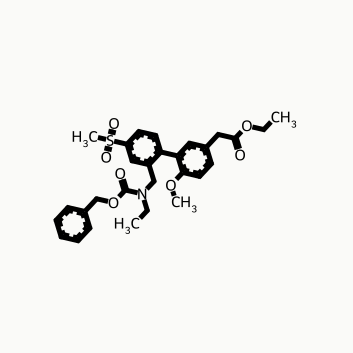 CCOC(=O)Cc1ccc(OC)c(-c2ccc(S(C)(=O)=O)cc2CN(CC)C(=O)OCc2ccccc2)c1